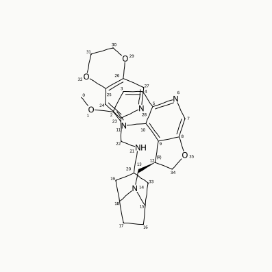 COc1ccc2ncc3c(c2n1)[C@H](CN1C2CCC1CC(NCc1cc4c(cn1)OCCO4)C2)CO3